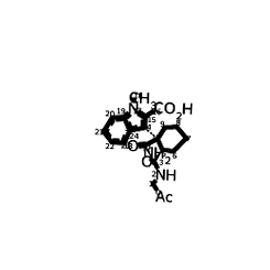 CC(=O)CNC(=O)[C@@H]1CCCC[C@@]1(C(N)=O)c1c(C(=O)O)n(C)c2ccccc12